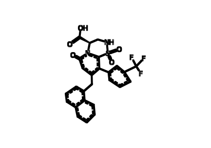 O=C(O)[C@H]1CNS(=O)(=O)c2c(-c3cccc(C(F)(F)F)c3)c(Cc3cccc4ccccc34)cc(=O)n21